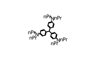 CCCN(CCC)c1ccc(C(c2ccc(N(CCC)CCC)cc2)c2ccc(N(CCC)CCC)cc2)cc1